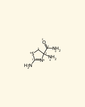 NC(=O)C1(N)CSC(N)=N1